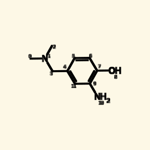 CN(C)Cc1ccc(O)c(N)c1